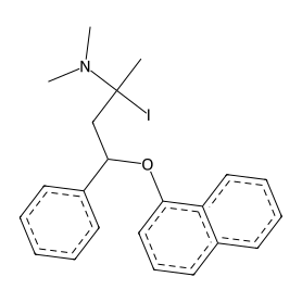 CN(C)C(C)(I)CC(Oc1cccc2ccccc12)c1ccccc1